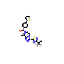 [2H]C([2H])([2H])c1nsc(-c2nnc3n2CCN(C(=O)c2ccc(-c4cccs4)cc2)[C@@H]3C)n1